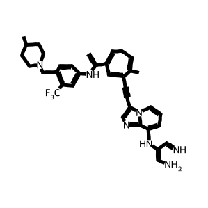 C=C(Nc1ccc(CN2CCC(C)CC2)c(C(F)(F)F)c1)C1=CCC=C(C)C(C#Cc2cnc3c(N/C(C=N)=C/N)cccn23)=C1